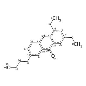 CCc1cc(CC)c2sc3ccc(CCCO)cc3c(=O)c2c1